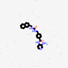 Nc1cnccc1NC(=O)c1ccc(CNC(=O)NCc2ccc3ccccc3c2)cc1